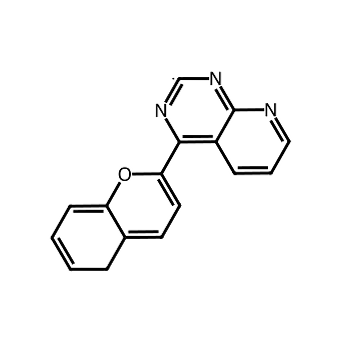 [c]1nc(C2=CC=C3CC=CC=C3O2)c2cccnc2n1